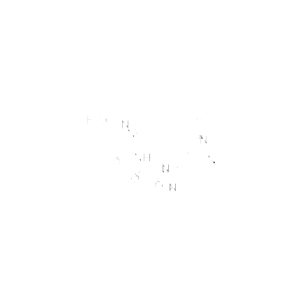 Cn1nc(C(F)(F)F)cc1C(=O)NC(=O)c1nc(-c2ccnc(N3CCCC3)c2)no1